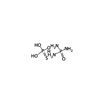 NP(N)(N)=O.OP(O)(O)=S